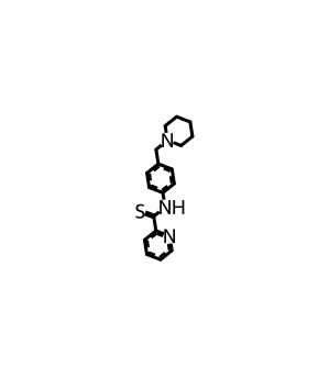 S=C(Nc1ccc(CN2CCCCC2)cc1)c1ccccn1